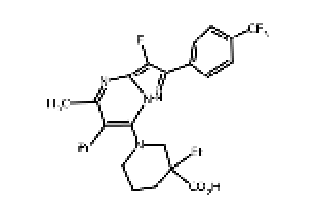 CCC1(C(=O)O)CCCN(c2c(C(C)C)c(C)nc3c(F)c(-c4ccc(C(F)(F)F)cc4)nn23)C1